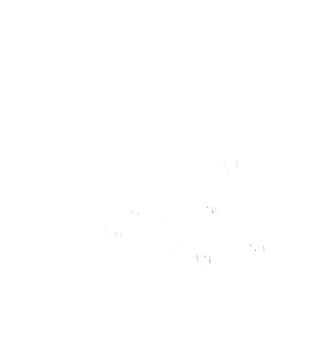 CC(C)(C)OC(=O)C(NC(=N)N)c1ccccc1C(=O)O